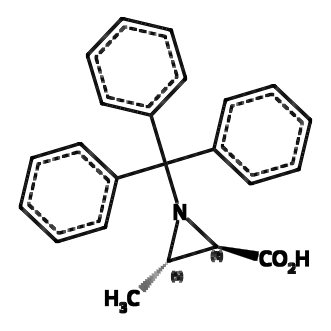 C[C@H]1[C@H](C(=O)O)N1C(c1ccccc1)(c1ccccc1)c1ccccc1